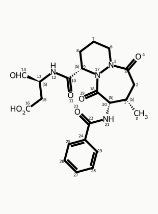 C[C@H]1CC(=O)N2CCC[C@@H](C(=O)N[C@H](C=O)CC(=O)O)N2C(=O)[C@H]1NC(=O)c1ccccc1